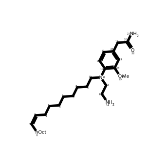 CCCCCCCC/C=C\CCCCCCCCN(CCN)c1ccc(CC(N)=O)cc1OC